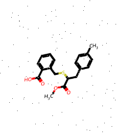 COC(=O)C(Cc1ccc(C)cc1)SCc1ccccc1C(=O)O